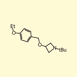 CCOc1ccc(COC2CN(C(C)(C)C)C2)cc1